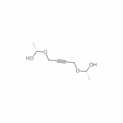 C[C@@H](O)OCC#CCO[C@@H](C)O